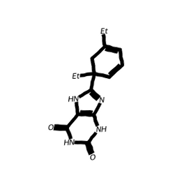 CCC1=CC=CC(CC)(c2nc3[nH]c(=O)[nH]c(=O)c3[nH]2)C1